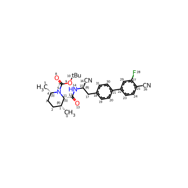 C[C@@H]1CC[C@H](C)N(C(=O)OC(C)(C)C)[C@@H]1C(=O)N[C@@H](C#N)Cc1ccc(-c2ccc(C#N)c(F)c2)cc1